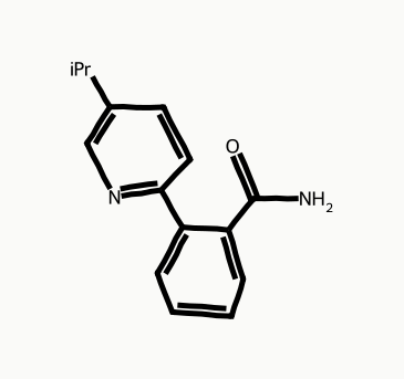 CC(C)c1ccc(-c2ccccc2C(N)=O)nc1